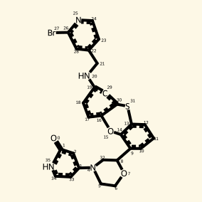 O=c1cc(N2CCOC(c3cccc4c3Oc3ccc(NCc5ccnc(Br)c5)cc3S4)C2)cc[nH]1